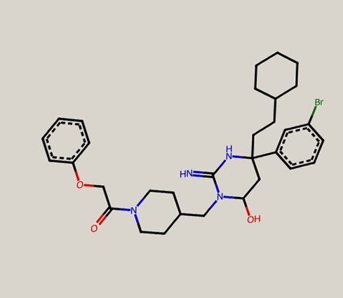 N=C1NC(CCC2CCCCC2)(c2cccc(Br)c2)CC(O)N1CC1CCN(C(=O)COc2ccccc2)CC1